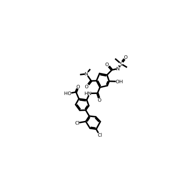 CN(C)C(=O)c1cc(C(=O)N=S(C)(C)=O)c(O)cc1C(=O)Nc1cc(-c2ccc(Cl)cc2Cl)ccc1C(=O)O